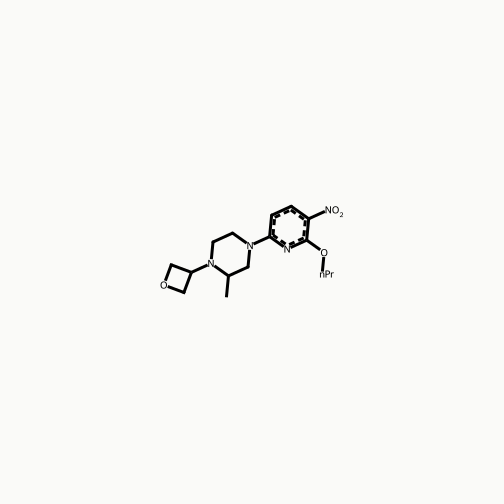 [CH2]CCOc1nc(N2CCN(C3COC3)C(C)C2)ccc1[N+](=O)[O-]